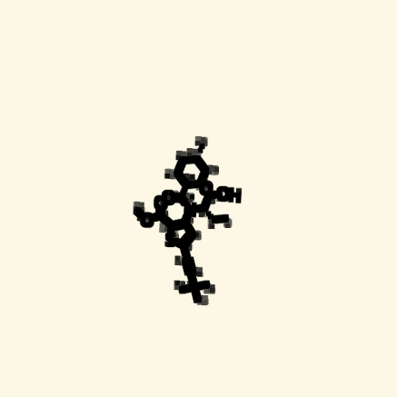 CC[C@@H](C(=O)O)N(c1cc(C#CC(C)(C)C)sc1C(=O)OC)C(=O)[C@H]1CC[C@H](C)CC1